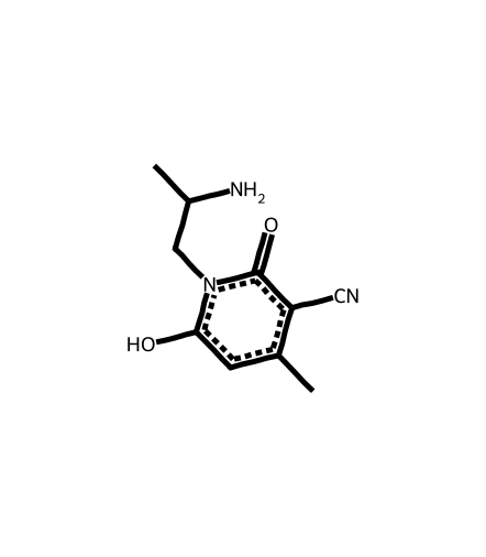 Cc1cc(O)n(CC(C)N)c(=O)c1C#N